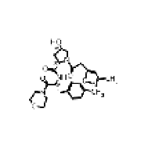 Cc1ccc(C[C@@H](NC(=O)[C@@H]2C[C@@H](O)CN2C(=O)Cc2cc(C)no2)C(=O)N2CCOCC2)cc1